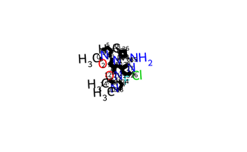 CC(=O)N1CCC[C@@H]1c1cc2c(O[C@@H](C)[C@@H]3CCCN3C)nc3c(F)c(Cl)ncc3c2n1[C@H]1[C@@H](CN)C[C@@H]1C